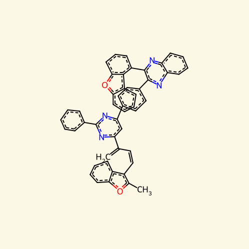 C=C(/C=C\c1c(C)oc2ccccc12)c1cc(-c2ccc(-c3nc4ccccc4nc3-c3cccc4oc5ccccc5c34)cc2)nc(-c2ccccc2)n1